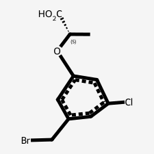 C[C@H](Oc1cc(Cl)cc(CBr)c1)C(=O)O